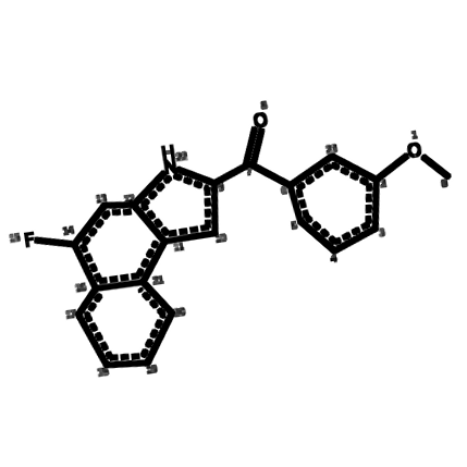 COc1cccc(C(=O)c2cc3c(cc(F)c4ccccc43)[nH]2)c1